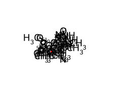 COc1ccc(C(OC[C@H]2O[C@@H](n3cnc4c(=O)[nH]c(NC(=O)C(C)C)nc43)[C@@H](O[PH](=O)OCCC#N)[C@H]2O[Si](C)(C)C(C)(C)C)(c2ccccc2)c2ccc(OC)cc2)cc1